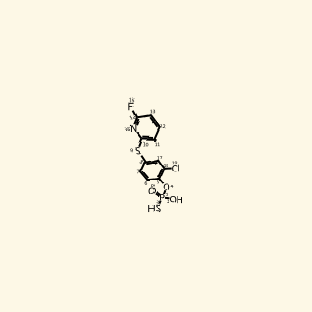 O=P(O)(S)Oc1ccc(Sc2cccc(F)n2)cc1Cl